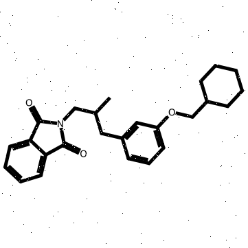 CC(Cc1cccc(OCC2CCCCC2)c1)CN1C(=O)c2ccccc2C1=O